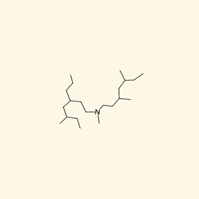 CCCC(CCN(C)CCC(C)CC(C)CC)CC(C)CC